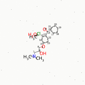 CCl.CN(C)CC(O)COc1ccc(C(=O)c2ccccc2)cc1.O